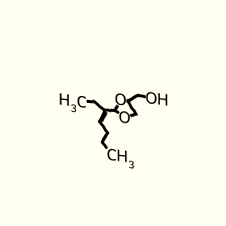 CCC/C=C(/CC)C1OCC(CO)O1